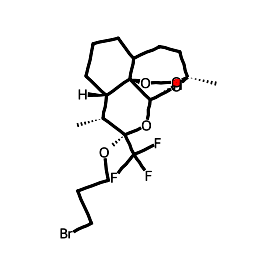 C[C@@H]1[C@@H]2CCCC3CC[C@]4(C)OO[C@]32[C@@H](O4)O[C@@]1(OCCCBr)C(F)(F)F